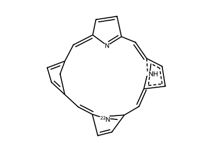 C1=C/C2=C/C3=CC=C(/C=C4/C=CC(=[22N]4)/C=c4/cc/c([nH]4)=C/C1=N2)C3